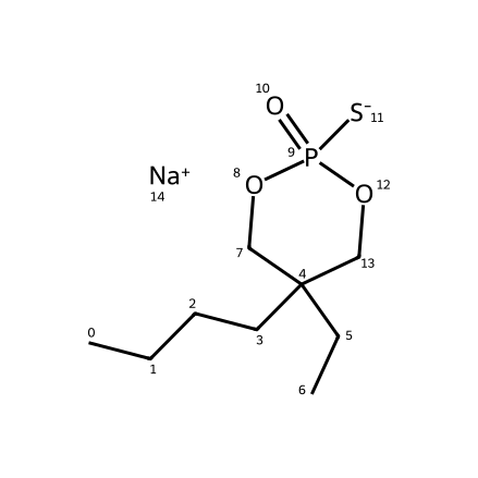 CCCCC1(CC)COP(=O)([S-])OC1.[Na+]